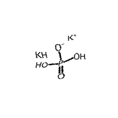 O=P([O-])(O)O.[K+].[KH]